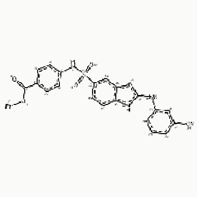 CC(C)OC(=O)c1ccc(NS(=O)(=O)c2ccc3[nH]c(Nc4cccc(C#N)c4)nc3c2)cc1